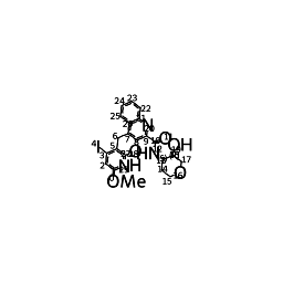 COc1cc(I)c(Cc2cc(C(=O)N[C@H]3CCOC[C@@H]3O)nc3ccccc23)c(O)n1